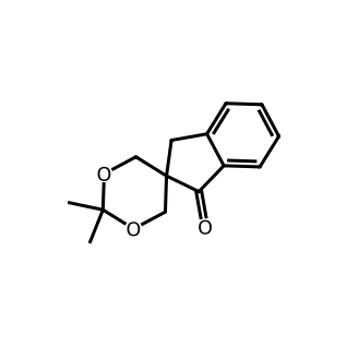 CC1(C)OCC2(CO1)Cc1ccccc1C2=O